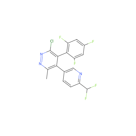 Cc1nnc(Cl)c(-c2c(F)cc(F)cc2F)c1-c1ccc(C(F)F)nc1